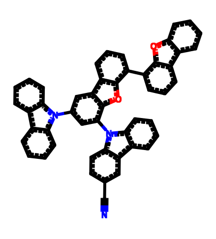 N#Cc1ccc2c(c1)c1ccccc1n2-c1cc(-n2c3ccccc3c3ccccc32)cc2c1oc1c(-c3cccc4c3oc3ccccc34)cccc12